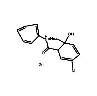 CCCCCCC1(O)C=CC(Cl)=CC1C(=O)Nc1ccccc1.[Zn]